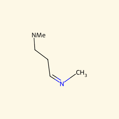 C/N=C\CCNC